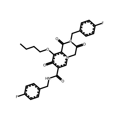 CCCCOc1c2n(cc(C(=O)NCc3ccc(F)cc3)c1=O)CC(=O)N(Cc1ccc(F)cc1)C2=O